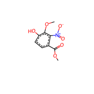 COC(=O)c1ccc(O)c(OC)c1[N+](=O)[O-]